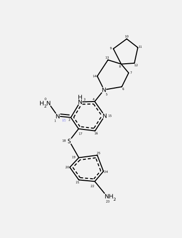 N/N=c1\[nH]c(N2CCC3(CCCC3)CC2)ncc1Sc1ccc(N)cc1